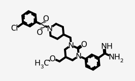 COCC1CN(CC2CCN(S(=O)(=O)c3cccc(Cl)c3)CC2)C(=O)N(c2cccc(C(=N)N)c2)C1